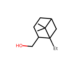 CCC12CC(CCC1CO)C2(C)C